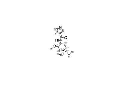 COC1=C(NC(=O)c2cnns2)C=CC(OC)(C2CC2)C1